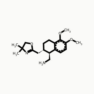 COc1ccc2c(c1OC)CC[C@@H](CC1=NC(C)(C)CO1)[C@@H]2CN